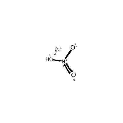 O=[N+]([O-])O.[In]